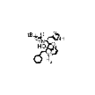 CC(C)(C)OC(=O)N[C@@H](Cc1c[nH]cn1)C(=O)[C@@](O)(c1nccs1)[C@@H](N)CC1CCCCC1